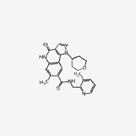 Cc1cc2[nH]c(=O)c3cnn(C4CCOCC4)c3c2cc1C(=O)NCc1ncccc1C